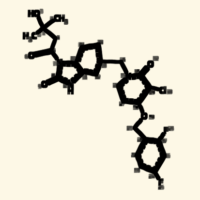 CC(C)(O)CC(=O)n1c(=O)[nH]c2cc(Cn3ccc(OCc4ccc(F)cc4F)c(Cl)c3=O)ccc21